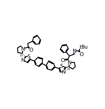 CC(C)(C)C(=O)/N=C/C(C(=O)N1CCC[C@H]1c1ncc(-c2ccc(-c3ccc(-c4cnc([C@@H]5CCCN5C(=O)Cc5ccccc5)s4)cc3)cc2)s1)c1ccccc1